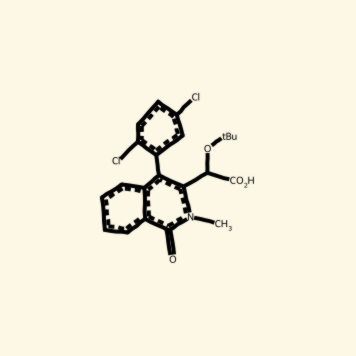 Cn1c(C(OC(C)(C)C)C(=O)O)c(-c2cc(Cl)ccc2Cl)c2ccccc2c1=O